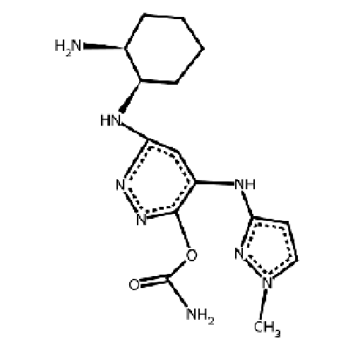 Cn1ccc(Nc2cc(N[C@@H]3CCCC[C@@H]3N)nnc2OC(N)=O)n1